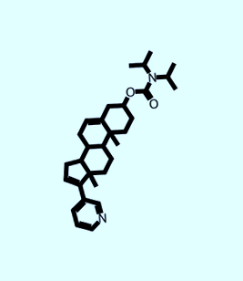 CC(C)N(C(=O)OC1CCC2(C)C(=CCC3C2CCC2(C)C(c4cccnc4)=CCC32)C1)C(C)C